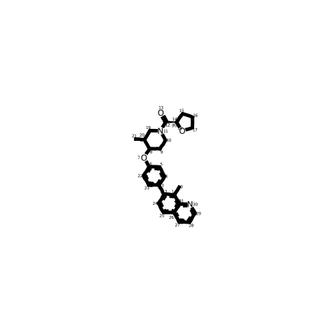 Cc1c(-c2ccc(OC3CCN(C(=O)[C@H]4CCCO4)CC3C)cc2)ccc2cccnc12